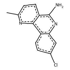 Cc1ccc2c(N)nc3cc(Cl)ccc3c2n1